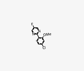 COc1cc(Cl)c[c]c1-c1ncc(F)cn1